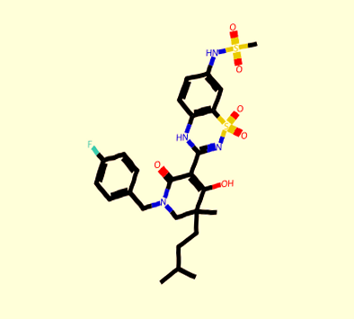 CC(C)CCC1(C)CN(Cc2ccc(F)cc2)C(=O)C(C2=NS(=O)(=O)c3cc(NS(C)(=O)=O)ccc3N2)=C1O